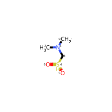 [CH2]N(C)C[SH](=O)=O